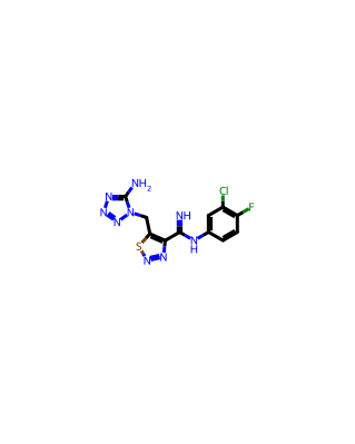 N=C(Nc1ccc(F)c(Cl)c1)c1nnsc1Cn1nnnc1N